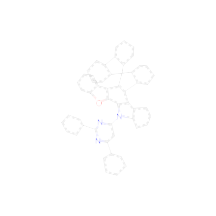 c1ccc(-c2cc(-n3c4ccccc4c4c5c(c6c7ccccc7oc6c43)C3(c4ccccc4-c4ccccc43)c3ccccc3-5)nc(-c3ccccc3)n2)cc1